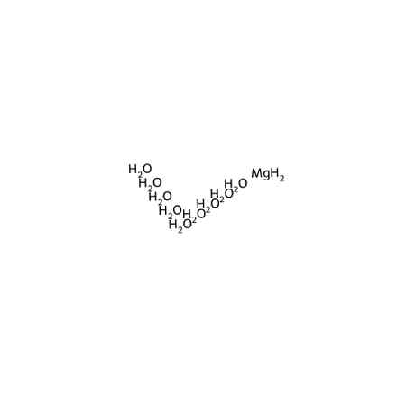 O.O.O.O.O.O.O.O.O.[MgH2]